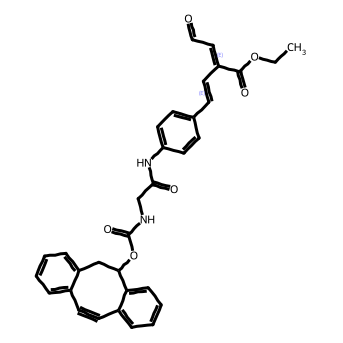 CCOC(=O)C(/C=C/c1ccc(NC(=O)CNC(=O)OC2Cc3ccccc3C#Cc3ccccc32)cc1)=C/C=O